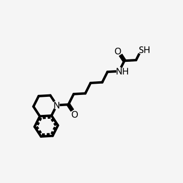 O=C(CS)NCCCCCC(=O)N1CCCc2ccccc21